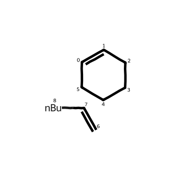 C1=CCCCC1.C=CCCCC